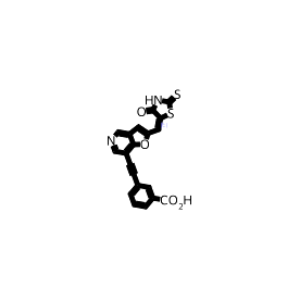 O=C1NC(=S)S/C1=C/c1cc2cncc(C#Cc3cccc(C(=O)O)c3)c2o1